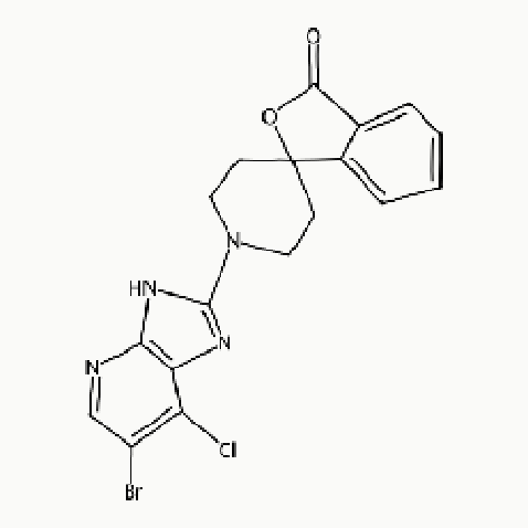 O=C1OC2(CCN(c3nc4c(Cl)c(Br)cnc4[nH]3)CC2)c2ccccc21